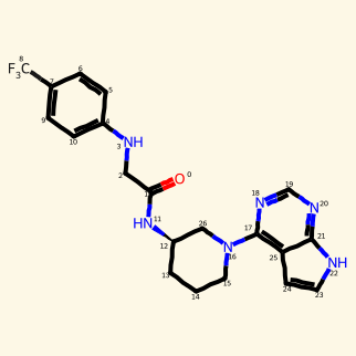 O=C(CNc1ccc(C(F)(F)F)cc1)N[C@@H]1CCCN(c2ncnc3[nH]ccc23)C1